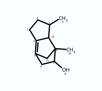 CC1CCC2=C3CC(O)C(C)(C3)C21